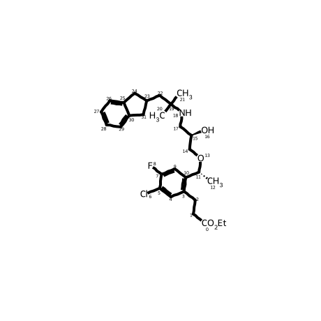 CCOC(=O)CCc1cc(Cl)c(F)cc1[C@@H](C)OC[C@H](O)CNC(C)(C)CC1Cc2ccccc2C1